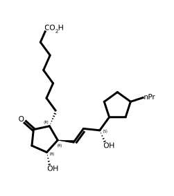 CCCC1CCC([C@H](O)C=C[C@H]2[C@H](O)CC(=O)[C@@H]2CCCCCCC(=O)O)C1